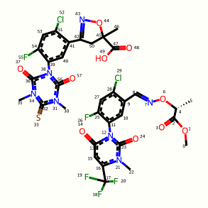 COC(=O)[C@@H](C)O/N=C/c1cc(-n2c(=O)cc(C(F)(F)F)n(C)c2=O)c(F)cc1Cl.Cn1c(=S)n(C)c(=O)n(-c2cc(C3=NOC(C)(C(=O)O)C3)c(Cl)cc2F)c1=O